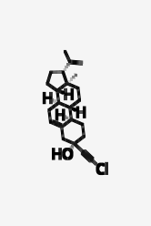 C=C(C)[C@H]1CC[C@H]2[C@@H]3CC=C4C[C@](O)(C#CCl)CC[C@@H]4[C@H]3CC[C@]12C